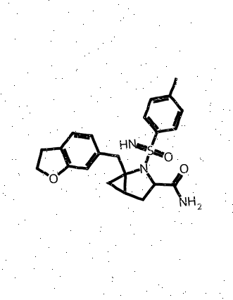 Cc1ccc(S(=N)(=O)N2C(C(N)=O)CC3CC32Cc2ccc3c(c2)OCC3)cc1